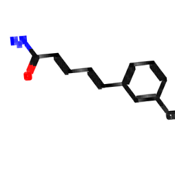 NC(=O)C=CC=Cc1cccc(C(F)(F)F)c1